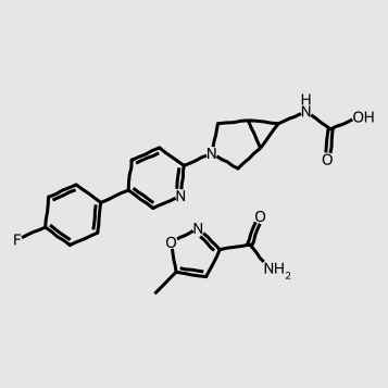 Cc1cc(C(N)=O)no1.O=C(O)NC1C2CN(c3ccc(-c4ccc(F)cc4)cn3)CC21